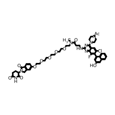 CC(=O)N1CCN(c2nc(NCCC(=O)N(C)CCOCCOCCOCCOCCOc3ccc4c(c3)CN(C3CCC(=O)NC3=O)C4=O)nc3c(F)c(-c4cc(O)cc5ccccc45)c(Cl)cc23)CC1